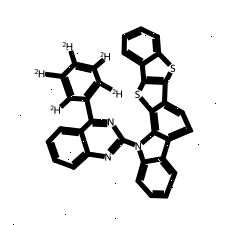 [2H]c1c([2H])c([2H])c(-c2nc(-n3c4ccccc4c4ccc5c6sc7ccccc7c6sc5c43)nc3ccccc23)c([2H])c1[2H]